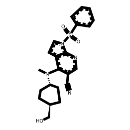 CN(c1c(C#N)cnc2c1ccn2S(=O)(=O)c1ccccc1)[C@H]1CC[C@H](CO)CC1